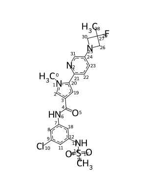 Cn1cc(C(=O)Nc2cc(Cl)cc(NS(C)(=O)=O)c2)cc1-c1ccc(N2CC(C)(F)C2)cn1